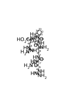 N=C(N)NCCCC[C@H](NC(=O)CN)C(=O)NCCCC[C@H](N)C(=O)NCC(=O)N1C2CCCCC2C[C@H]1C(=O)N[C@@H](CCCNC(=N)N)C(=O)O